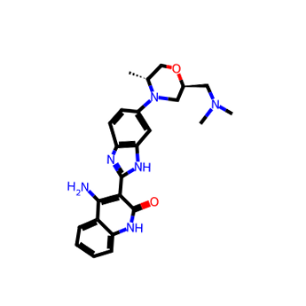 C[C@@H]1CO[C@@H](CN(C)C)CN1c1ccc2nc(-c3c(N)c4ccccc4[nH]c3=O)[nH]c2c1